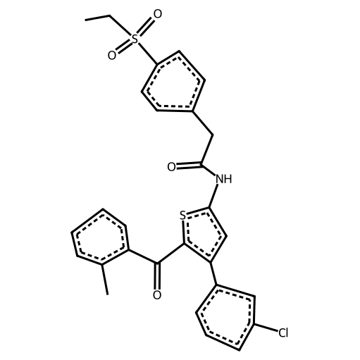 CCS(=O)(=O)c1ccc(CC(=O)Nc2cc(-c3cccc(Cl)c3)c(C(=O)c3ccccc3C)s2)cc1